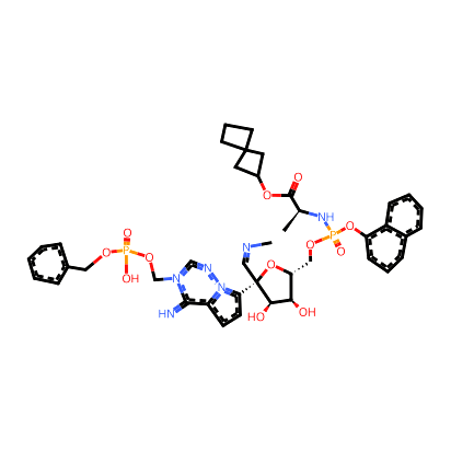 C/N=C\[C@@]1(c2ccc3c(=N)n(COP(=O)(O)OCc4ccccc4)cnn23)O[C@H](COP(=O)(N[C@@H](C)C(=O)OC2CC3(CCC3)C2)Oc2cccc3ccccc23)[C@@H](O)[C@H]1O